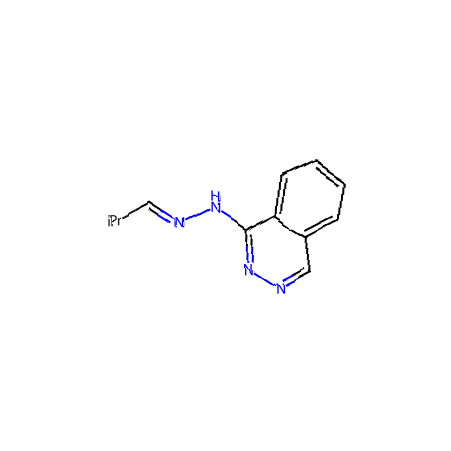 CC(C)/C=N/Nc1nncc2ccccc12